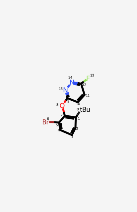 CC(C)(C)c1cccc(Br)c1Oc1ccc(F)nn1